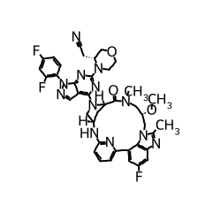 CO[C@H]1CN(C)C(=O)[C@@H]2C[C@@H](CN2c2nc(N3CCOC[C@H]3CC#N)nc3c2cnn3-c2ccc(F)cc2F)Nc2cccc(n2)-c2cc(F)cc3nc(C)n(c23)C1